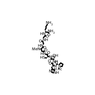 CN[C@@H](CC(=O)NC(=O)[C@H](CS)NC(=O)[C@H](CO)NC(=O)[C@H](Cc1c[nH]cn1)NC(=O)[C@@H]1CCCN1C(C)=O)C(=O)NCC(=O)NCC(=O)N[C@@H](CCCCN)C(N)=O